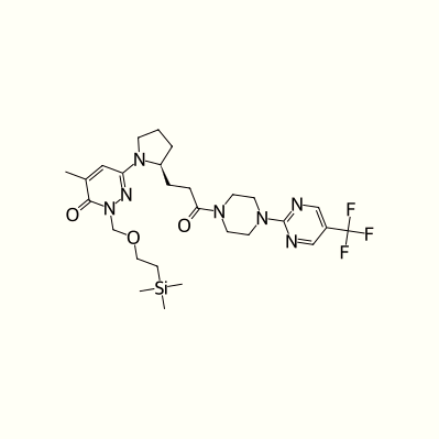 Cc1cc(N2CCC[C@H]2CCC(=O)N2CCN(c3ncc(C(F)(F)F)cn3)CC2)nn(COCC[Si](C)(C)C)c1=O